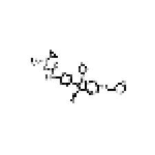 C[C@@H](OC(=O)Nc1ccc(-c2c(C#N)c3ccc(OCC4COCO4)cc3n2C2CCC2)cc1)C1CC1